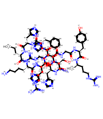 N=C(N)NCCC[C@H](NC(=O)[C@H](Cc1ccc(O)cc1)NC(=O)CNC(=O)[C@H](CCCNC(=N)N)NC(=O)[C@H](Cc1cnc[nH]1)NC(=O)[C@H](CO)NC(=O)[C@H](Cc1cnc[nH]1)NC(=O)[C@H](Cc1cnc[nH]1)NC(=O)[C@H](CCCCN)NC(=O)[C@H](CCC(=O)O)NC(=O)[C@H](Cc1cnc[nH]1)NC(=O)[C@H](Cc1ccccc1)NC(=O)[C@H](CCCCN)NC(=O)[C@@H](N)CCCNC(=N)N)C(=O)O